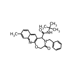 Cc1ccc2cc3c(nc2c1)OCC(=O)N(Cc1ccccc1)C3C(=O)NC(C)(C)C